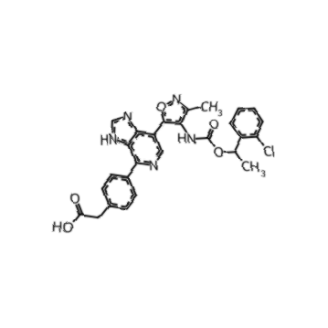 Cc1noc(-c2cnc(-c3ccc(CC(=O)O)cc3)c3[nH]cnc23)c1NC(=O)OC(C)c1ccccc1Cl